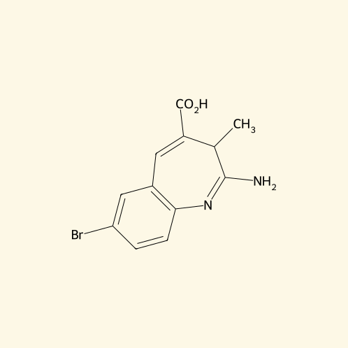 CC1C(C(=O)O)=Cc2cc(Br)ccc2N=C1N